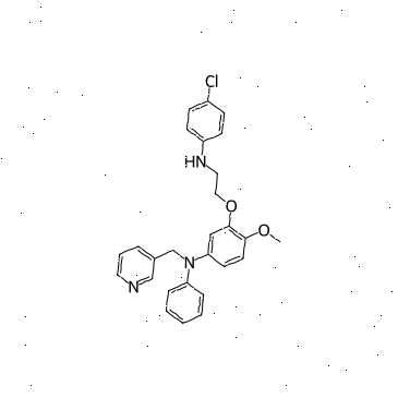 COc1ccc(N(Cc2cccnc2)c2ccccc2)cc1OCCNc1ccc(Cl)cc1